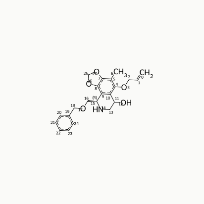 C=CCOc1c(C)c2c(c3c1C(O)CN[C@H]3COCc1ccccc1)OCO2